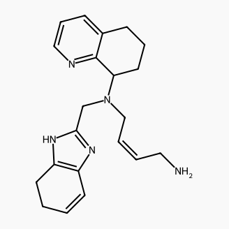 NC/C=C\CN(Cc1nc2c([nH]1)CCC=C2)C1CCCc2cccnc21